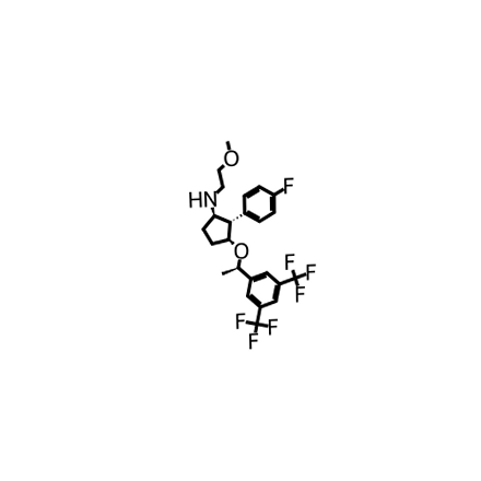 COCCN[C@@H]1CC[C@H](O[C@H](C)c2cc(C(F)(F)F)cc(C(F)(F)F)c2)[C@H]1c1ccc(F)cc1